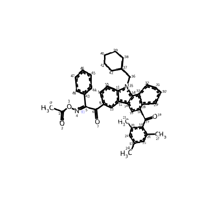 CC(=O)O/N=C(/C(=O)c1ccc2c(c1)c1cc(C(=O)c3c(C)cc(C)cc3C)c3ccccc3c1n2CC1CCCCC1)c1ccccc1